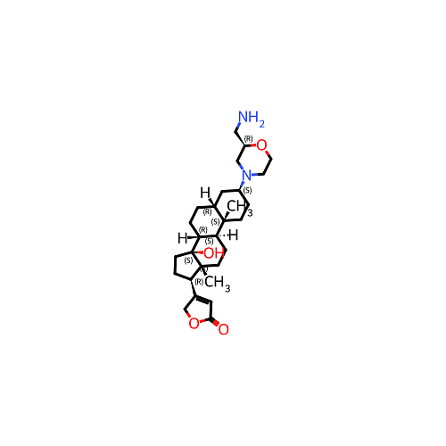 C[C@]12CC[C@H](N3CCO[C@H](CN)C3)C[C@H]1CC[C@@H]1[C@@H]2CC[C@]2(C)[C@@H](C3=CC(=O)OC3)CC[C@]12O